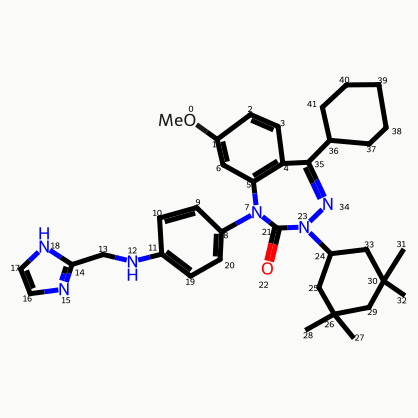 COc1ccc2c(c1)N(c1ccc(NCc3ncc[nH]3)cc1)C(=O)N(C1CC(C)(C)CC(C)(C)C1)N=C2C1CCCCC1